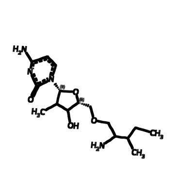 CCC(C)C(N)COC[C@H]1O[C@@H](n2ccc(N)nc2=O)C(C)C1O